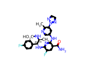 Cc1ncc(Nc2nc(N[C@H](c3ccc(F)cc3)[C@H](C)NC(=O)O)c(F)cc2C(N)=O)cc1-n1nccn1